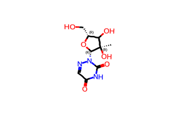 C[C@@]1(O)C(O)[C@@H](CO)O[C@H]1n1ncc(=O)[nH]c1=O